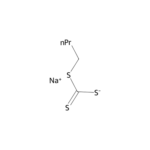 CCCCSC(=S)[S-].[Na+]